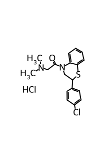 CN(C)CC(=O)N1CC(c2ccc(Cl)cc2)Sc2ccccc21.Cl